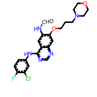 O=CNc1cc2c(Nc3ccc(F)c(Cl)c3)ncnc2cc1OCCCN1CCOCC1